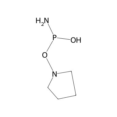 NP(O)ON1CCCC1